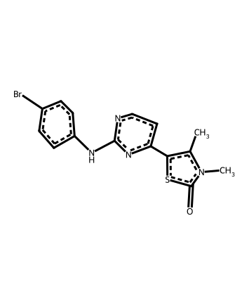 Cc1c(-c2ccnc(Nc3ccc(Br)cc3)n2)sc(=O)n1C